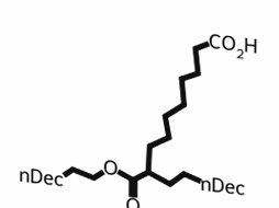 CCCCCCCCCCCCOC(=O)C(CCCCCCCCCCCC)CCCCCCCC(=O)O